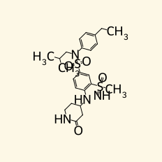 CCc1ccc(N(CC(C)C)S(=O)(=O)c2ccc(NC3CCNC(=O)C3)c(S(C)(=N)=O)c2)cc1